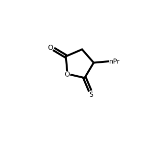 CCCC1CC(=O)OC1=S